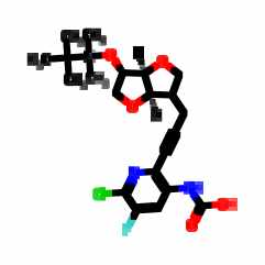 CC(C)(C)[Si](C)(C)O[C@@H]1CO[C@@H]2C(CC#Cc3nc(Cl)c(F)cc3NC(=O)O)CO[C@@H]21